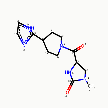 CN1CC(C(=O)N2CCC(c3ncc[nH]3)CC2)NC1=O